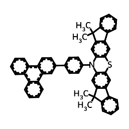 CC1(C)c2ccccc2-c2cc3c(cc21)N(c1ccc(-c2ccc4c5ccccc5c5ccccc5c4c2)cc1)c1cc2c(cc1S3)-c1ccccc1C2(C)C